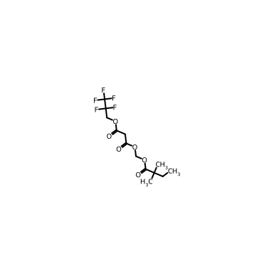 CCC(C)(C)C(=O)OCOC(=O)CC(=O)OCC(F)(F)C(F)(F)F